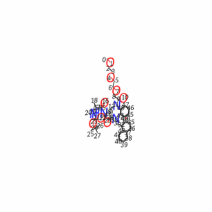 COCCOCCOCC(=O)N1C[C@H](NC(=O)[C@H](C)N(C)C(=O)OC(C)(C)C)C(=O)N(Cc2c(C)ccc3ccccc23)c2ccccc21